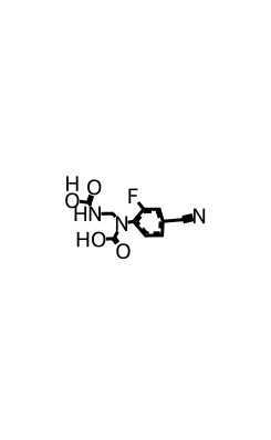 N#Cc1ccc(N(CNC(=O)O)C(=O)O)c(F)c1